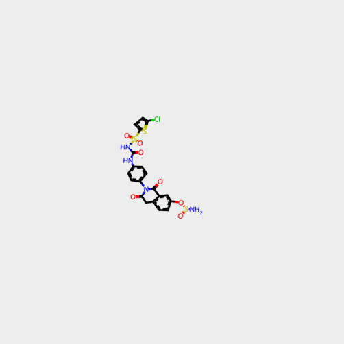 NS(=O)Oc1ccc2c(c1)C(=O)N(c1ccc(NC(=O)NS(=O)(=O)c3ccc(Cl)s3)cc1)C(=O)C2